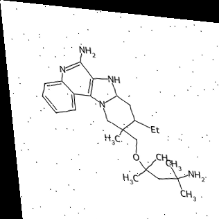 CCC1CC2Nc3c(N)nc4ccccc4c3N2CC1(C)COC(C)(C)CC(C)(C)N